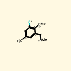 CNCc1cc(C(F)(F)F)cc(F)c1OC